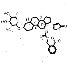 C[C@@H]1O[C@@H](O[C@H]2CC[C@@]3(C)[C@H](CC[C@@H]4[C@@H]3C[C@@H](OC(=O)OCc3ccccc3[N+](=O)[O-])[C@]3(C)[C@@H](C5=CC(=O)OC5)CC[C@]43O)C2)[C@H](O)[C@H](O)[C@H]1O